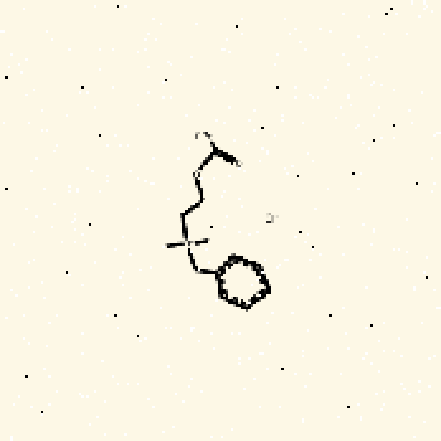 CCCC(=O)OCC[N+](C)(C)Cc1ccccc1.[Cl-]